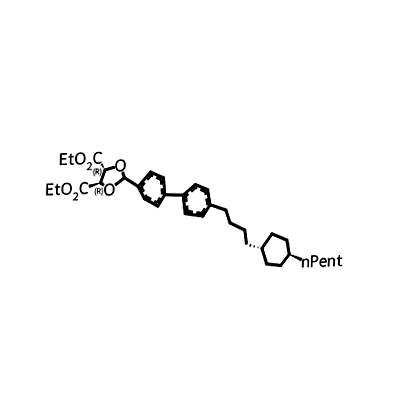 CCCCC[C@H]1CC[C@H](CCCCc2ccc(-c3ccc(C4O[C@@H](C(=O)OCC)[C@H](C(=O)OCC)O4)cc3)cc2)CC1